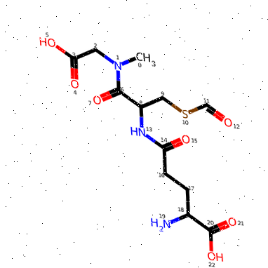 CN(CC(=O)O)C(=O)C(CSC=O)NC(=O)CCC(N)C(=O)O